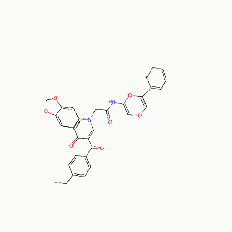 CCc1ccc(C(=O)c2cn(CC(=O)NC3=COC=C(C4=CC=CCC4)O3)c3cc4c(cc3c2=O)OCO4)cc1